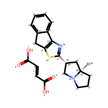 O=C(O)/C=C/C(=O)O.c1ccc2c(c1)Cc1sc([C@@H]3C[C@H]4CCCN4C3)nc1-2